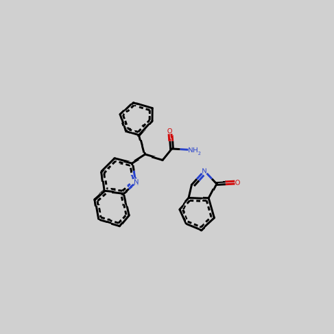 NC(=O)CC(c1ccccc1)c1ccc2ccccc2n1.O=C1N=Cc2ccccc21